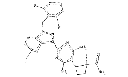 CC1(C(N)=O)CCC1c1c(N)nc(-c2nn(Cc3c(F)cccc3F)c3ncc(F)cc23)nc1N